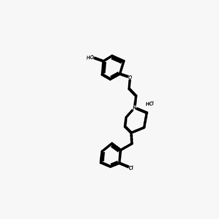 Cl.Oc1ccc(OCCN2CCC(Cc3ccccc3Cl)CC2)cc1